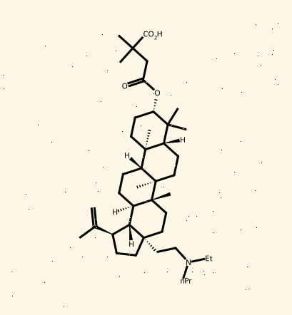 C=C(C)[C@@H]1CC[C@]2(CCN(CC)CCC)CC[C@]3(C)[C@H](CC[C@@H]4[C@@]5(C)CC[C@H](OC(=O)CC(C)(C)C(=O)O)C(C)(C)[C@@H]5CC[C@]43C)[C@@H]12